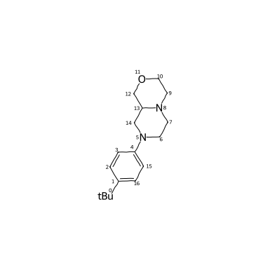 CC(C)(C)c1ccc(N2CCN3CCOCC3C2)cc1